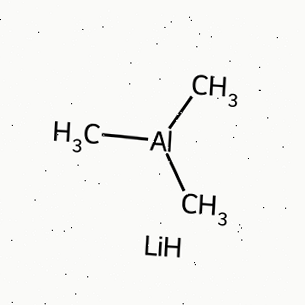 [CH3][Al]([CH3])[CH3].[LiH]